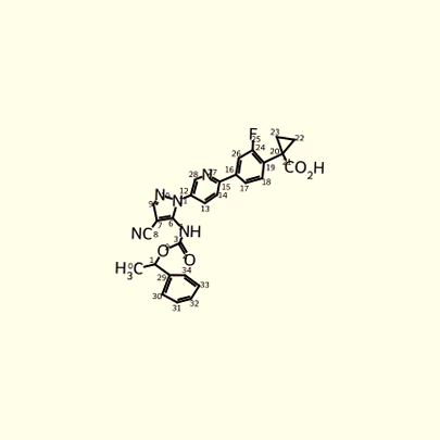 CC(OC(=O)Nc1c(C#N)cnn1-c1ccc(-c2ccc(C3(C(=O)O)CC3)c(F)c2)nc1)c1ccccc1